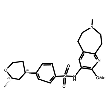 COc1nc2c(cc1NS(=O)(=O)c1ccc([C@@H]3CCO[C@@H](C)C3)cc1)CCN(C)CC2